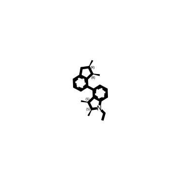 CCN1c2cccc(-c3cccc4c3[C@H](C)[C@H](C)C4)c2[C@H](C)[C@@H]1C